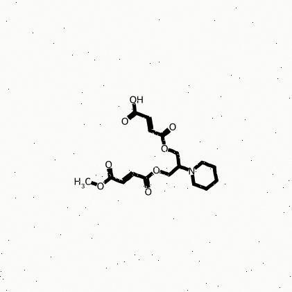 COC(=O)/C=C/C(=O)OCC(COC(=O)/C=C/C(=O)O)N1CCCCC1